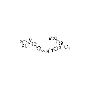 COc1ccc2c(Oc3ccc(N4CCN(CCCN5CCN(c6ccc7c(c6)C(=O)N(C6CCC(=O)NC6=O)C7=O)CC5)CC4)cc3)c(-c3ccc(F)cc3)sc2c1